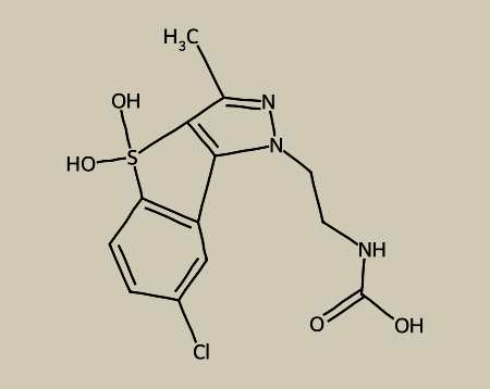 Cc1nn(CCNC(=O)O)c2c1S(O)(O)c1ccc(Cl)cc1-2